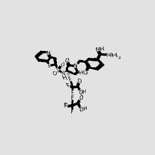 N=C(N)c1ccc(O)c(CN2CC[C@H](NS(=O)(=O)c3cc4ncccc4s3)C2=O)c1.O=C(O)C(F)(F)F.O=C(O)C(F)(F)F